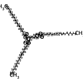 CCCCCCCCCCCCCCCCCCCCCC(=O)Oc1ccc(C=Cc2cc(OC(=O)CCCCCCCCCCCCCCCCCCCCC)cc(OC(=O)CCCCCCCCCCCCCCCCCCCCC)c2)cc1